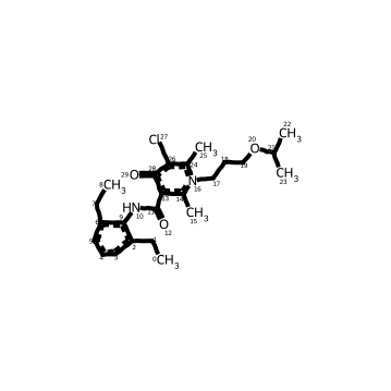 CCc1cccc(CC)c1NC(=O)c1c(C)n(CCCOC(C)C)c(C)c(Cl)c1=O